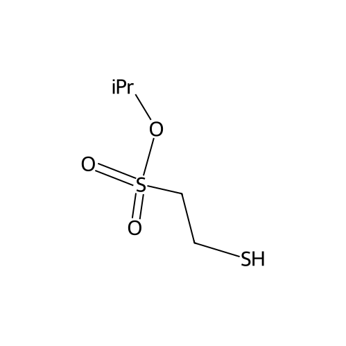 CC(C)OS(=O)(=O)CCS